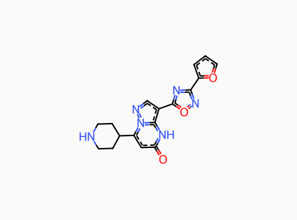 O=c1cc(C2CCNCC2)n2ncc(-c3nc(-c4ccco4)no3)c2[nH]1